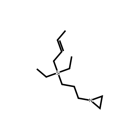 CC=CC[Si](CC)(CC)CCCN1CC1